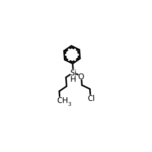 CCCC[SiH](OCCCl)c1ccccc1